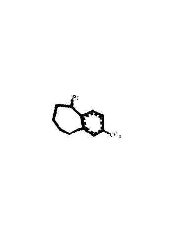 CC(C)C1CCCCc2cc(C(F)(F)F)ccc21